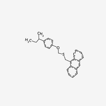 CCC(C)c1ccc(OCSCc2c3ccccc3cc3ccccc23)cc1